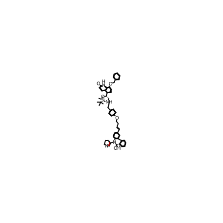 CC(C)(C)[Si](C)(C)O[C@@H](CNCCc1ccc(OCCC=Cc2ccc(N(C(=O)O)C3CN4CCC3CC4)c(-c3ccccc3)c2)cc1)c1ccc(OCc2ccccc2)c2[nH]c(=O)ccc12